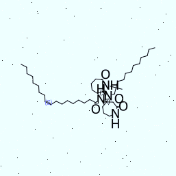 CCCCCCCC/C=C\CCCCCCCC(=O)N[C@@]1(N(C(=O)C(C)(C)CCCCCCCCCC)[C@H]2CCCCC(=O)N2)CCCNC(=O)C1